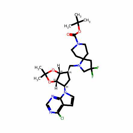 CC(C)(C)OC(=O)N1CCC2(CC1)CC(F)(F)CN2C[C@H]1C[C@@H](n2ccc3c(Cl)ncnc32)[C@@H]2OC(C)(C)O[C@H]12